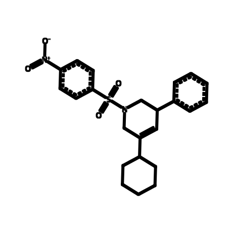 O=[N+]([O-])c1ccc(S(=O)(=O)N2CC(C3CCCCC3)=CC(c3ccccc3)C2)cc1